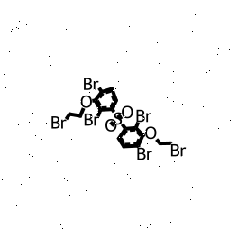 O=S(=O)(c1ccc(Br)c(OCCBr)c1Br)c1ccc(Br)c(OCCBr)c1Br